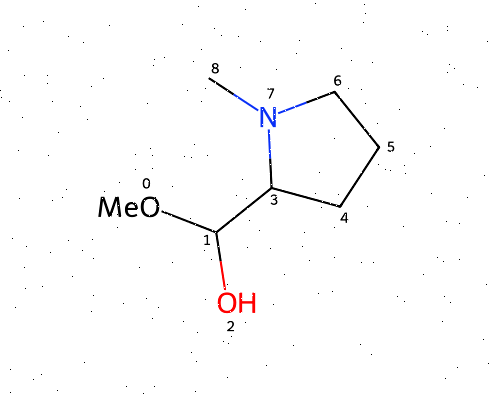 COC(O)C1CCCN1C